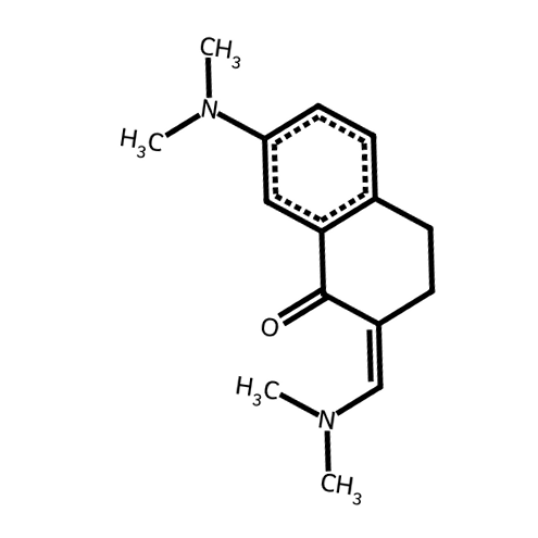 CN(C)C=C1CCc2ccc(N(C)C)cc2C1=O